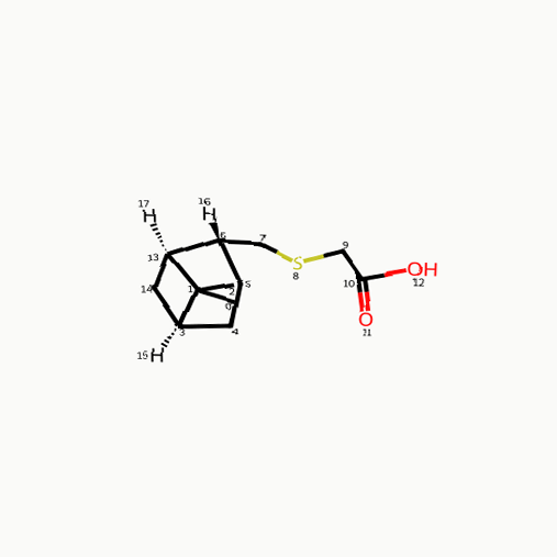 CC1(C)[C@H]2CC[C@@H](CSCC(=O)O)[C@@H]1C2